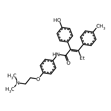 CC/C(=C(\C(=O)Nc1ccc(OCCN(C)C)cc1)c1ccc(O)cc1)c1ccc(C)cc1